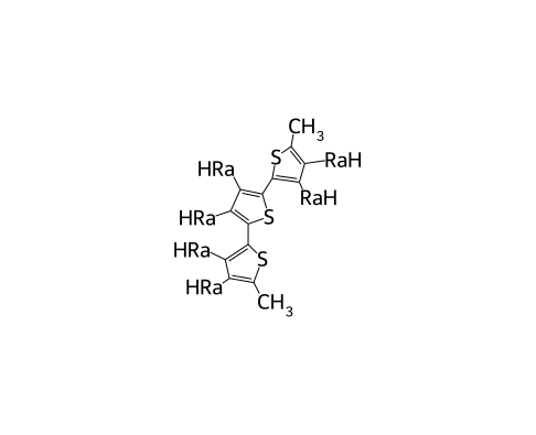 Cc1sc(-c2sc(-c3sc(C)[c]([RaH])[c]3[RaH])[c]([RaH])[c]2[RaH])[c]([RaH])[c]1[RaH]